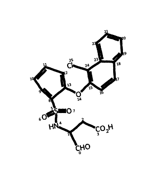 O=CC(CC(=O)O)NS(=O)(=O)c1ccccc1Oc1ccc2ccccc2c1Cl